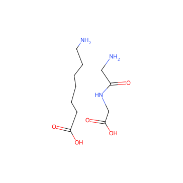 NCC(=O)NCC(=O)O.NCCCCCCC(=O)O